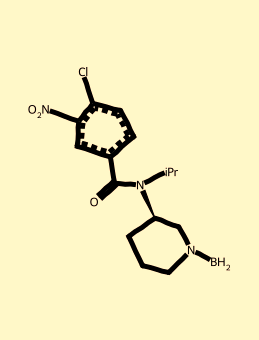 BN1CCC[C@@H](N(C(=O)c2ccc(Cl)c([N+](=O)[O-])c2)C(C)C)C1